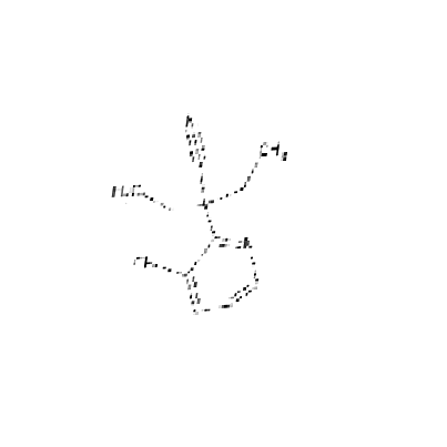 CCC(C#N)(CC)c1ncccc1Cl